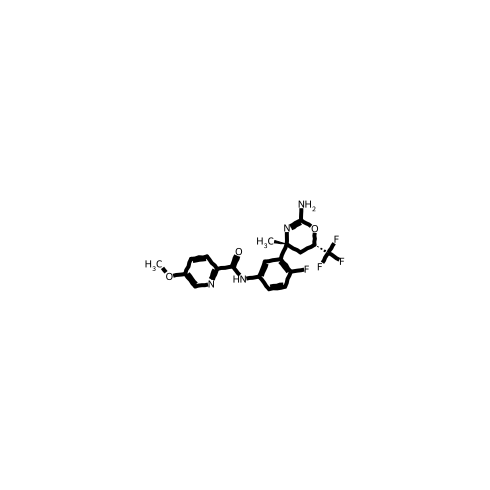 COc1ccc(C(=O)Nc2ccc(F)c([C@@]3(C)C[C@@H](C(F)(F)F)OC(N)=N3)c2)nc1